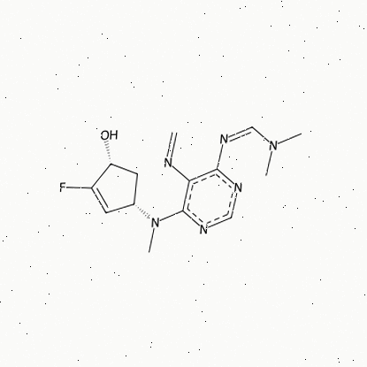 C=Nc1c(/N=C\N(C)C)ncnc1N(C)[C@@H]1C=C(F)[C@H](O)C1